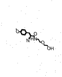 COc1ccc(/C=C(\C#N)C(=O)NCCOCCO)cc1